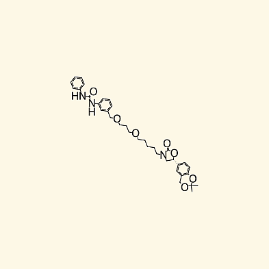 CC1(C)OCc2cc([C@@H]3CN(CCCCCOCCCOCc4cccc(NC(=O)Nc5ccccc5)c4)C(=O)O3)ccc2O1